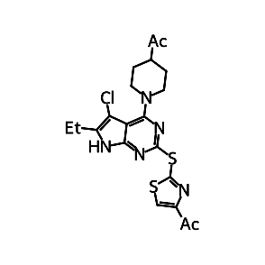 CCc1[nH]c2nc(Sc3nc(C(C)=O)cs3)nc(N3CCC(C(C)=O)CC3)c2c1Cl